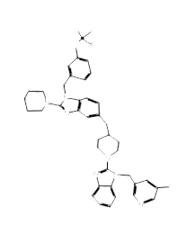 Fc1cncc(Cn2c(N3CCC(Cc4ccc5c(c4)nc(N4CCCCC4)n5Cc4cccc(OC(F)(F)F)c4)CC3)nc3ccccc32)c1